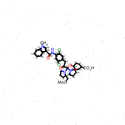 COC[C@@]1(F)CCCN1C(OC1CCC(C(=O)O)CC1)(C(=O)Cc1cc(Cl)c(NC(=O)c2cn(C)c3ccccc23)cc1Cl)N1CCCC1